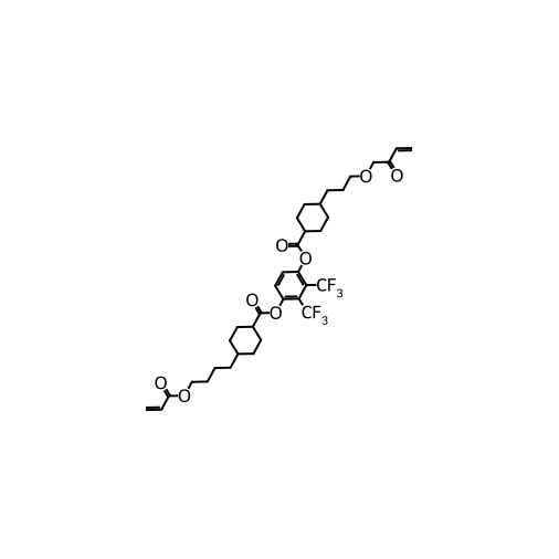 C=CC(=O)COCCCC1CCC(C(=O)Oc2ccc(OC(=O)C3CCC(CCCCOC(=O)C=C)CC3)c(C(F)(F)F)c2C(F)(F)F)CC1